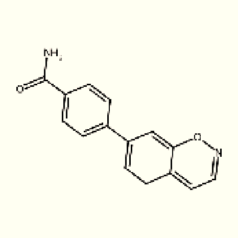 NC(=O)c1ccc(C2=CCC3=CC=NOC3=C2)cc1